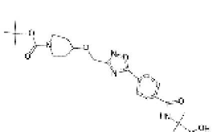 CC(C)(CO)NC(=O)c1ccc(-c2nc(COC3CCN(C(=O)OC(C)(C)C)CC3)no2)cc1